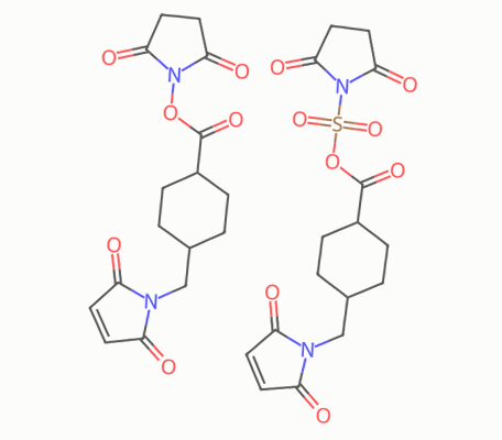 O=C(ON1C(=O)CCC1=O)C1CCC(CN2C(=O)C=CC2=O)CC1.O=C(OS(=O)(=O)N1C(=O)CCC1=O)C1CCC(CN2C(=O)C=CC2=O)CC1